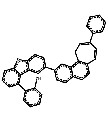 N#Cc1ccccc1-c1cccc2sc3ccc(-c4ccc5ccc6c(c5c4)CC=C(c4ccccc4)C=C6)cc3c12